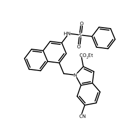 CCOC(=O)c1cc2ccc(C#N)cc2n1Cc1cc(NS(=O)(=O)c2ccccc2)cc2ccccc12